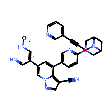 CN/C=C(\C=N)c1cc(-c2ccc(N3CC4CC(C3)N4CC#Cc3cccnc3)nc2)c2c(C#N)cnn2c1